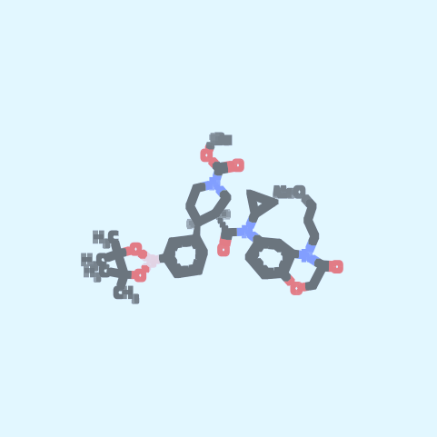 COCCCN1C(=O)COc2ccc(N(C(=O)[C@H]3CN(C(=O)OC(C)(C)C)CC[C@@H]3c3cccc(B4OC(C)(C)C(C)(C)O4)c3)C3CC3)cc21